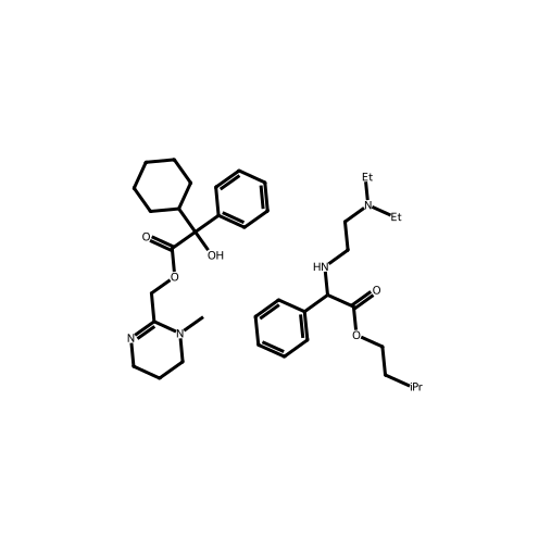 CCN(CC)CCNC(C(=O)OCCC(C)C)c1ccccc1.CN1CCCN=C1COC(=O)C(O)(c1ccccc1)C1CCCCC1